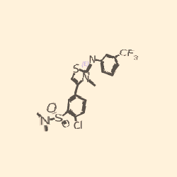 CN(C)S(=O)(=O)c1cc(-c2cs/c(=N/c3cccc(C(F)(F)F)c3)n2C)ccc1Cl